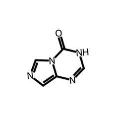 O=c1[nH]cnc2cncn12